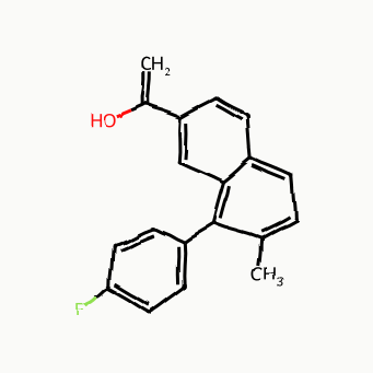 C=C(O)c1ccc2ccc(C)c(-c3ccc(F)cc3)c2c1